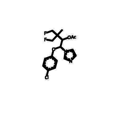 CC(=O)OC(C(Oc1ccc(Cl)cc1)n1ccnc1)C(C)(CF)CF